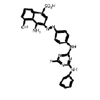 Nc1c(N=Nc2ccc(Nc3nc(F)nc(Nc4ccccc4)n3)cc2)cc(S(=O)(=O)O)c2cccc(O)c12